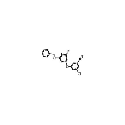 N#Cc1cc(Cl)cc(Oc2cc(F)nc(OCc3ccccc3)c2)c1